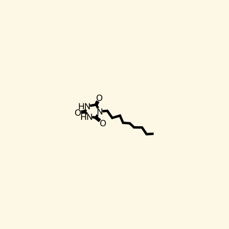 CCCCCCCCCn1c(=O)[nH]c(=O)[nH]c1=O